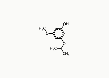 COc1cc(O)cc(OC(C)C)c1